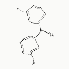 CC(=O)N(c1cccc(F)c1)c1cccc(F)c1